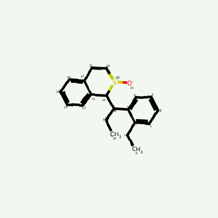 CCc1ccccc1C(CC)C1c2ccccc2CC[S+]1[O-]